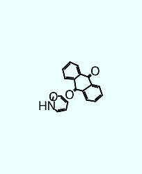 C1=CNOC=C1.O=C1c2ccccc2C(=O)c2ccccc21